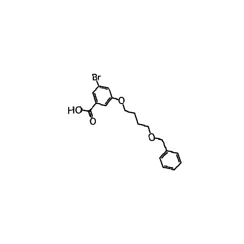 O=C(O)c1cc(Br)cc(OCCCCOCc2ccccc2)c1